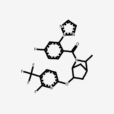 CC1C2CC(Oc3ccc(C(F)(F)F)c(F)n3)C(C2)N1C(=O)c1ccc(F)cc1-n1nccn1